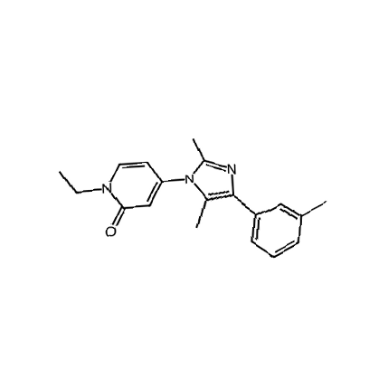 CCn1ccc(-n2c(C)nc(-c3cccc(C)c3)c2C)cc1=O